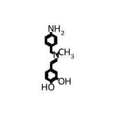 CN(C=Cc1ccc(O)c(O)c1)Cc1ccc(N)cc1